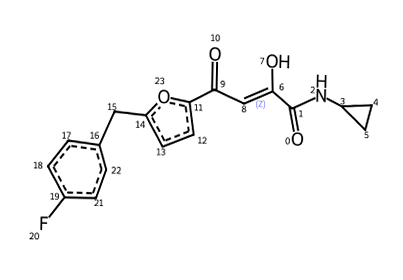 O=C(NC1CC1)/C(O)=C/C(=O)c1ccc(Cc2ccc(F)cc2)o1